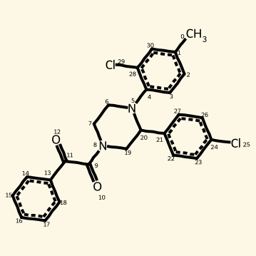 Cc1ccc(N2CCN(C(=O)C(=O)c3ccccc3)CC2c2ccc(Cl)cc2)c(Cl)c1